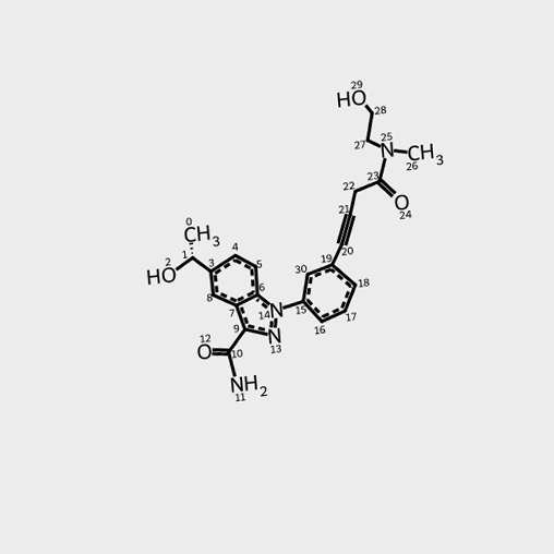 C[C@@H](O)c1ccc2c(c1)c(C(N)=O)nn2-c1cccc(C#CCC(=O)N(C)CCO)c1